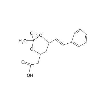 CC1(C)OC(C=Cc2ccccc2)CC(CC(=O)O)O1